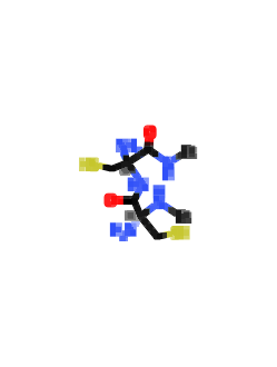 CCNC(=O)[C@@](N)(CS)NC(=O)[C@](N)(CS)NCC